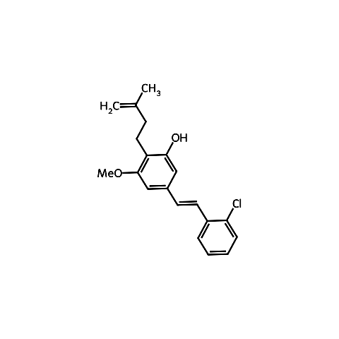 C=C(C)CCc1c(O)cc(/C=C/c2ccccc2Cl)cc1OC